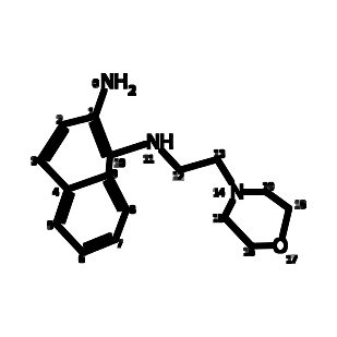 Nc1ccc2ccccc2c1NCCN1CCOCC1